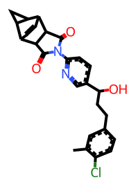 Cc1cc(CCC(O)c2ccc(N3C(=O)C4C5C=CC(C6CC56)C4C3=O)nc2)ccc1Cl